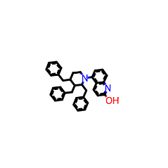 Oc1ccc2c(N3CCC(Cc4ccccc4)C(Cc4ccccc4)C3Cc3ccccc3)cccc2n1